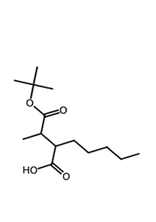 CCCCCC(C(=O)O)C(C)C(=O)OC(C)(C)C